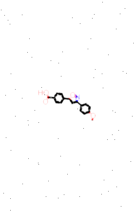 COc1ccc(-c2cc(-c3ccc(C(=O)O)cc3)on2)cc1